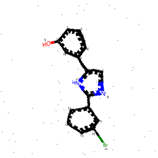 Oc1cccc(-c2cnc(-c3cccc(Br)c3)[nH]2)c1